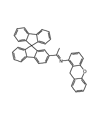 C/C(=N\c1cccc2c1Cc1ccccc1O2)c1ccc2c(c1)C1(c3ccccc3-c3ccccc31)c1ccccc1-2